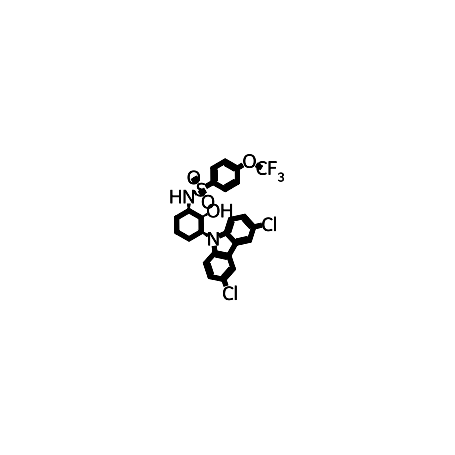 O=S(=O)(N[C@@H]1CCC[C@H](n2c3ccc(Cl)cc3c3cc(Cl)ccc32)[C@H]1O)c1ccc(OC(F)(F)F)cc1